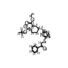 CCOC(=O)[C@H]1C[C@H](Cn2nnc(SCC(=O)c3ccccc3)n2)CCN1C(=O)OC(C)(C)C